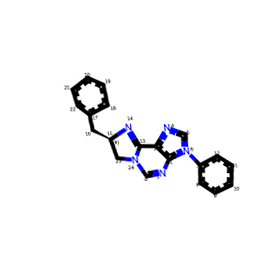 C1=Nc2c(ncn2-c2ccccc2)C2=N[C@H](Cc3ccccc3)CN12